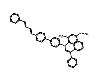 COc1ccc(N(C=C(c2ccccc2)c2ccccc2)c2ccc(-c3ccc(/C=C/C=C/c4ccccc4)cc3)cc2)c(C)c1